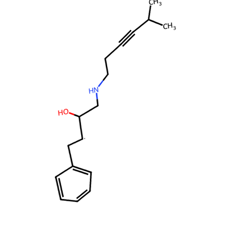 CC(C)C#CCCNCC(O)[CH]Cc1ccccc1